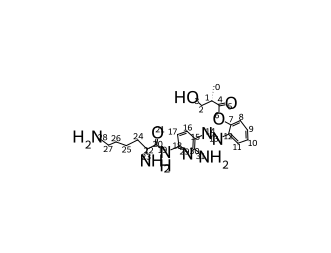 C[C@@H](CO)C(=O)Oc1ccccc1/N=N/c1ccc(NC(=O)[C@@H](N)CCCCN)nc1N